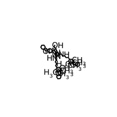 CC1(C)CC(CCCCNc2nc(NCCCCC3CC(C)(C)N(OC4CCCCC4)C(C)(C)C3)nc(N(CCO)C3CCN(OC4CCCCC4)CC3)n2)CC(C)(C)N1OC1CCCCC1